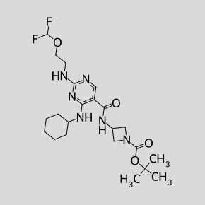 CC(C)(C)OC(=O)N1CC(NC(=O)c2cnc(NCCOC(F)F)nc2NC2CCCCC2)C1